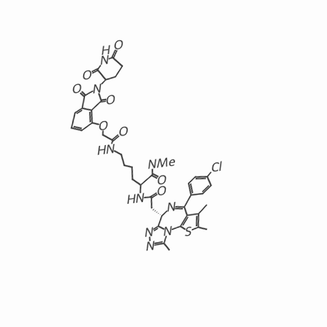 CNC(=O)C(CCCCNC(=O)COc1cccc2c1C(=O)N(C1CCC(=O)NC1=O)C2=O)NC(=O)C[C@@H]1N=C(c2ccc(Cl)cc2)c2c(sc(C)c2C)-n2c(C)nnc21